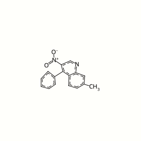 Cc1ccc2c(-c3ccccc3)c([N+](=O)[O-])cnc2c1